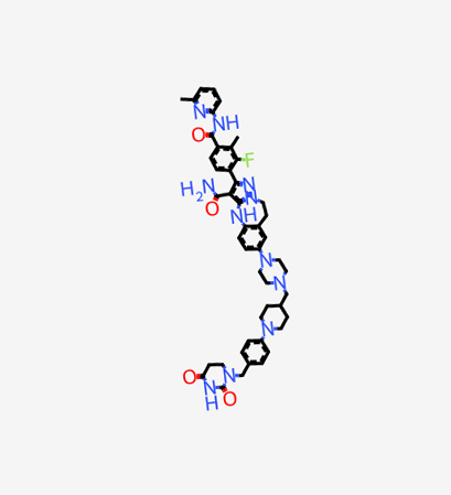 Cc1cccc(NC(=O)c2ccc(-c3nn4c(c3C(N)=O)Nc3ccc(N5CCN(CC6CCN(c7ccc(CN8CCC(=O)NC8=O)cc7)CC6)CC5)cc3CC4)c(F)c2C)n1